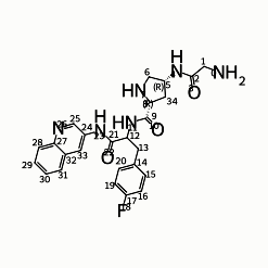 NCC(=O)N[C@H]1CN[C@@H](C(=O)NC(Cc2ccc(F)cc2)C(=O)Nc2cnc3ccccc3c2)C1